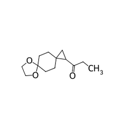 CCC(=O)C1CC12CCC1(CC2)OCCO1